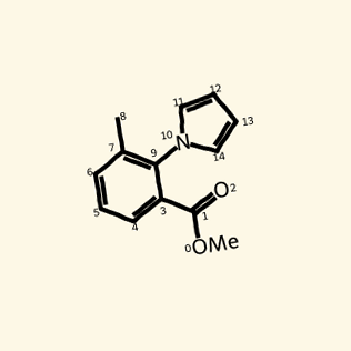 COC(=O)c1cccc(C)c1-n1cccc1